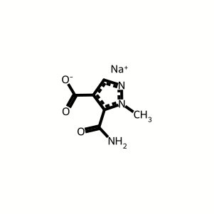 Cn1ncc(C(=O)[O-])c1C(N)=O.[Na+]